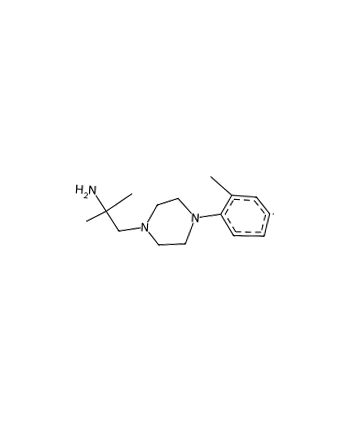 Cc1c[c]ccc1N1CCN(CC(C)(C)N)CC1